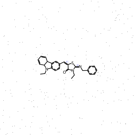 CCN1C(=O)/C(=C\c2ccc3c(c2)C2C=CC=CC2N3CC)S/C1=N/Cc1ccccc1